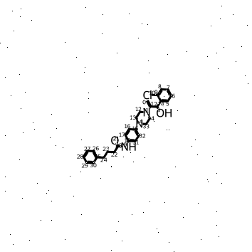 C=C(C(O)c1ccccc1Cl)N1CCN(c2ccc(NC(=O)CCCc3ccccc3)cc2)CC1